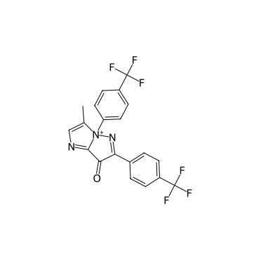 CC1=CN=C2C(=O)C(c3ccc(C(F)(F)F)cc3)=N[N+]12c1ccc(C(F)(F)F)cc1